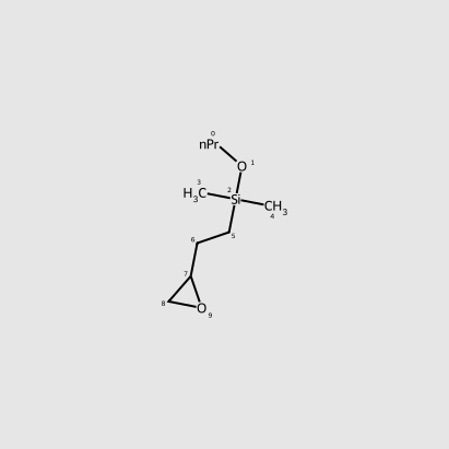 CCCO[Si](C)(C)CCC1CO1